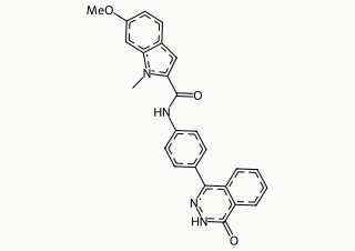 COc1ccc2cc(C(=O)Nc3ccc(-c4n[nH]c(=O)c5ccccc45)cc3)n(C)c2c1